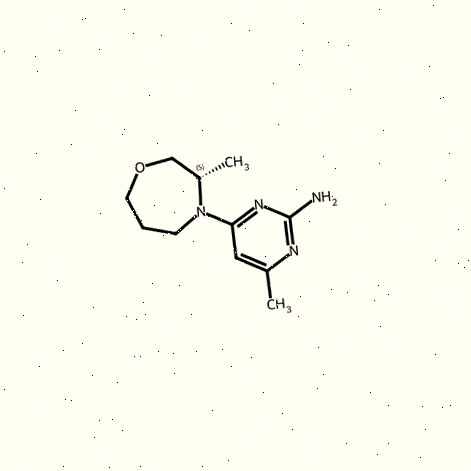 Cc1cc(N2CCCOC[C@@H]2C)nc(N)n1